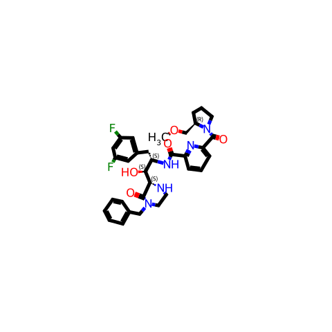 COC[C@H]1CCCN1C(=O)c1cccc(C(=O)N[C@@H](Cc2cc(F)cc(F)c2)[C@H](O)[C@@H]2NCCN(Cc3ccccc3)C2=O)n1